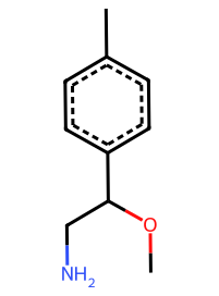 COC(CN)c1ccc(C)cc1